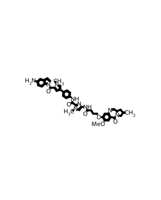 C=C1CC2C=Nc3cc(OCCCC(=O)Nc4cn(C)c(C(=O)Nc5ccc(-c6cc(C(=O)n7ccc8cc(N)ccc87)n(C)c6)cc5)n4)c(OC)cc3C(=O)N2C1